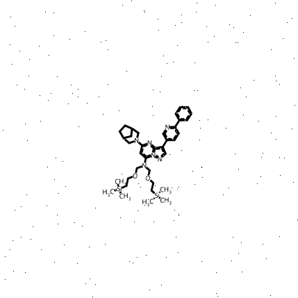 C[Si](C)(C)CCOCN(COCC[Si](C)(C)C)c1cc(N2CC3CCC(C3)C2)nc2c(-c3ccc(-c4ccccc4)nc3)cnn12